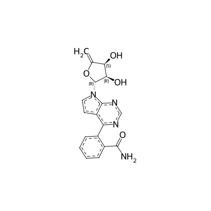 C=C1O[C@@H](n2ccc3c(-c4ccccc4C(N)=O)ncnc32)[C@H](O)[C@@H]1O